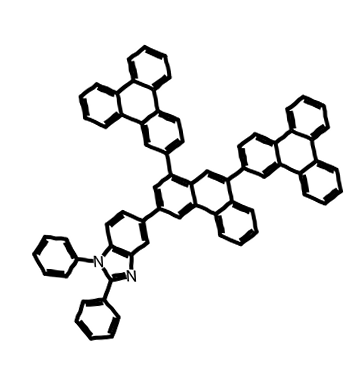 c1ccc(-c2nc3cc(-c4cc(-c5ccc6c7ccccc7c7ccccc7c6c5)c5cc(-c6ccc7c8ccccc8c8ccccc8c7c6)c6ccccc6c5c4)ccc3n2-c2ccccc2)cc1